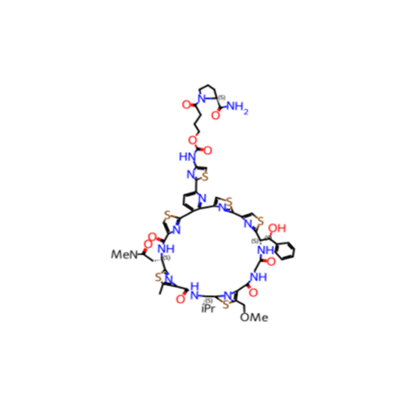 CNC(=O)C[C@@H]1NC(=O)c2csc(n2)-c2ccc(-c3nc(NC(=O)OCCCC(=O)N4CCC[C@H]4C(N)=O)cs3)nc2-c2csc(n2)-c2csc(n2)[C@H]([C@@H](O)c2ccccc2)NC(=O)CNC(=O)C2=C(COC)SC([C@H](C(C)C)NC(=O)c3nc1sc3C)N2C